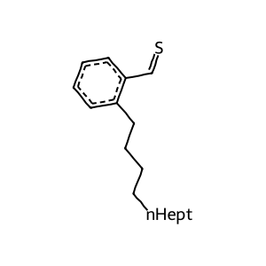 CCCCCCCCCCCc1ccccc1C=S